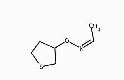 C/C=N\OC1CCSC1